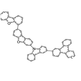 c1ccc2c(c1)oc1c(-c3ccc4oc5cc(-n6c7ccccc7c7cc(-c8ccc9c%10ccccc%10c%10ccccc%10c9c8)ccc76)ccc5c4c3)cccc12